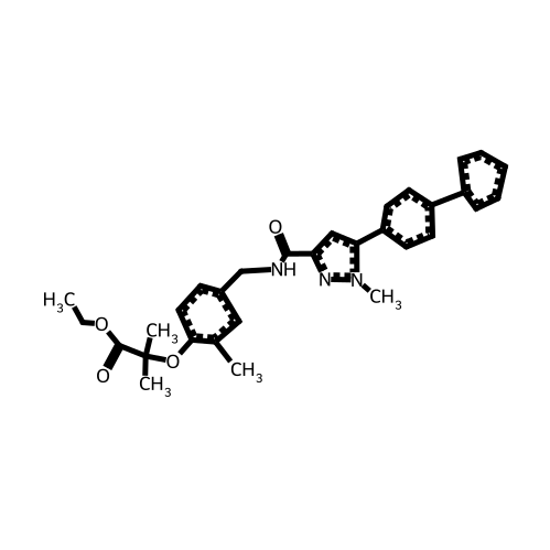 CCOC(=O)C(C)(C)Oc1ccc(CNC(=O)c2cc(-c3ccc(-c4ccccc4)cc3)n(C)n2)cc1C